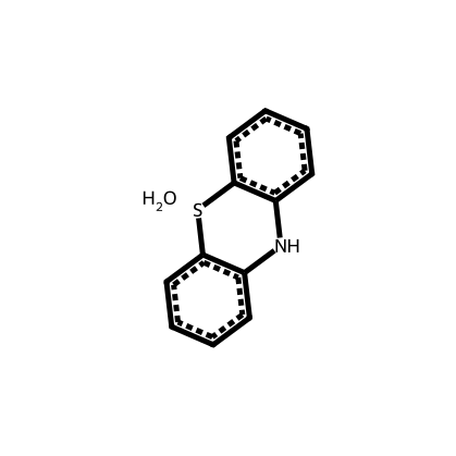 O.c1ccc2c(c1)Nc1ccccc1S2